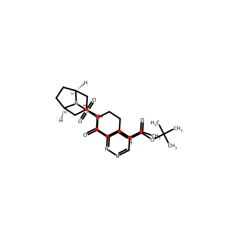 CCc1cnnc(C(=O)N[C@H]2C[C@H]3CC[C@@H](C2)N3S(=O)(=O)N2CCC(NC(=O)OC(C)(C)C)CC2)c1